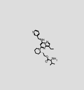 CCc1cnn2c(NCc3cccnc3)cc(N3CCCC[C@H]3CCOC(=O)[C@@H](N)C(C)C)nc12